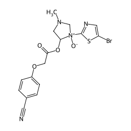 CN1CC(OC(=O)COc2ccc(C#N)cc2)[N+]([O-])(c2ncc(Br)s2)C1